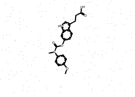 COc1ccc(N(C)C(=O)Oc2ccc3c(CCC(=O)O)c[nH]c3c2)cc1